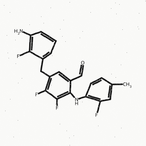 Cc1ccc(Nc2c(C=O)cc(Cc3cccc(N)c3F)c(F)c2F)c(F)c1